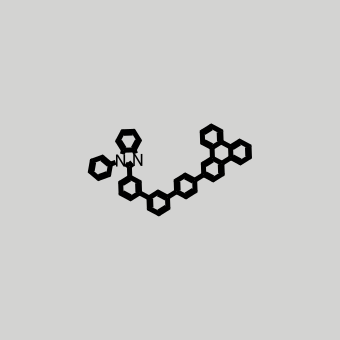 c1ccc(-n2c(-c3cccc(-c4cccc(-c5ccc(-c6ccc7c8ccccc8c8ccccc8c7c6)cc5)c4)c3)nc3ccccc32)cc1